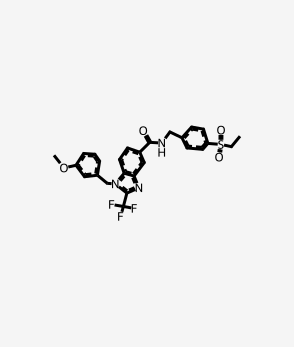 CCS(=O)(=O)c1ccc(CNC(=O)c2ccc3c(c2)nc(C(F)(F)F)n3Cc2cccc(OC)c2)cc1